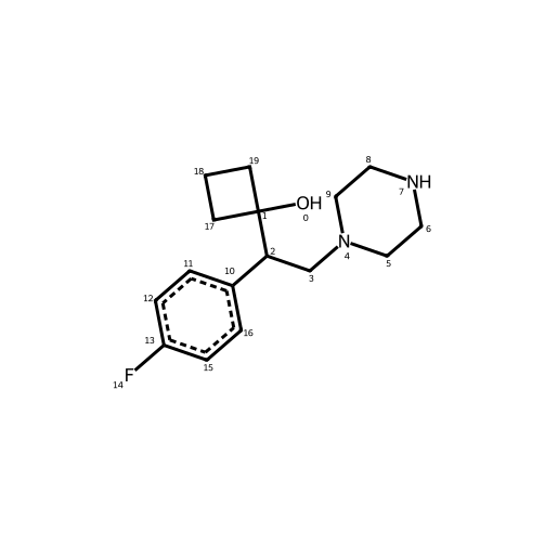 OC1(C(CN2CCNCC2)c2ccc(F)cc2)CCC1